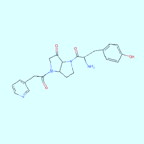 NC(Cc1ccc(O)cc1)C(=O)N1CCC2C1C(=O)CN2C(=O)Cc1cccnc1